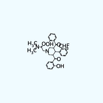 Cc1c(F)cccc1C1C(C(=O)c2ccccc2O)CN(CC(=O)N(C)C)CC1C(=O)c1ccccc1O